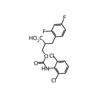 O=C(Nc1c(Cl)cccc1Cl)OCC(Cc1ccc(F)cc1F)C(=O)O